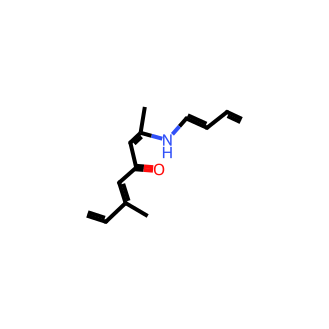 C=C/C=C/N/C(C)=C\C(=O)/C=C(\C)C=C